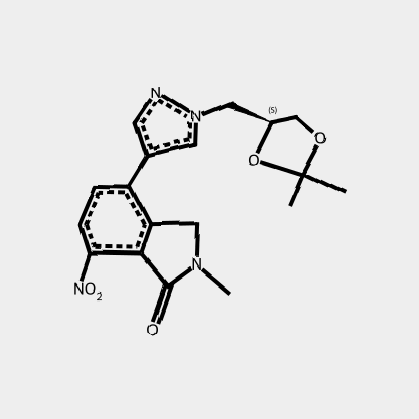 CN1Cc2c(-c3cnn(C[C@H]4COC(C)(C)O4)c3)ccc([N+](=O)[O-])c2C1=O